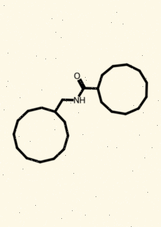 O=C(NCC1CCCCCCCCCCC1)C1CCCCCCCCCC1